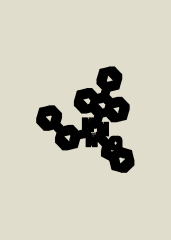 c1ccc(-c2cccc(-c3nc(-c4cc5ccccc5o4)nc(-c4c5ccccc5c(-c5ccccc5)c5ccccc45)n3)c2)cc1